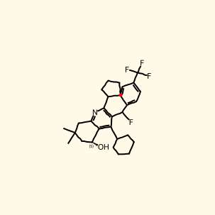 CC1(C)Cc2nc(C3CCCC3)c(C(F)c3ccc(C(F)(F)F)cc3)c(C3CCCCC3)c2[C@@H](O)C1